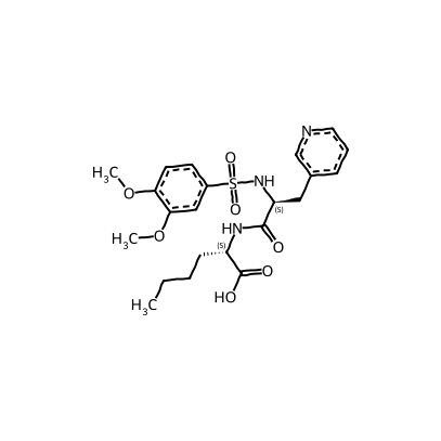 CCCC[C@H](NC(=O)[C@H](Cc1cccnc1)NS(=O)(=O)c1ccc(OC)c(OC)c1)C(=O)O